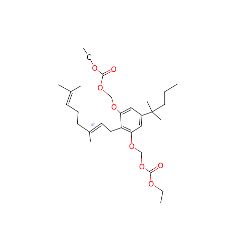 CCCC(C)(C)c1cc(OCOC(=O)OCC)c(C/C=C(\C)CCC=C(C)C)c(OCOC(=O)OCC)c1